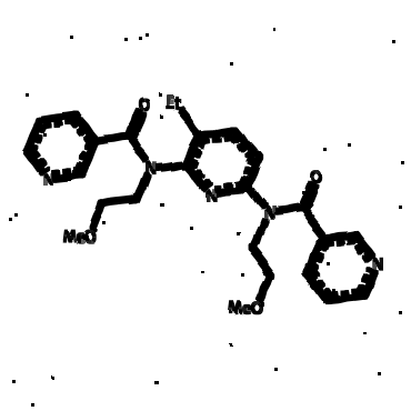 CCc1ccc(N(CCOC)C(=O)c2cccnc2)nc1N(CCOC)C(=O)c1cccnc1